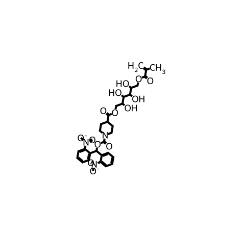 C=C(C)C(=O)OCC(O)C(O)C(O)C(O)COC(=O)C1CCN(C(=O)OC(c2ccccc2[N+](=O)[O-])c2ccccc2[N+](=O)[O-])CC1